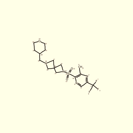 Cc1nc(C(F)(F)F)cnc1S(=O)(=O)N1CC2(CN(CC3CCOCC3)C2)C1